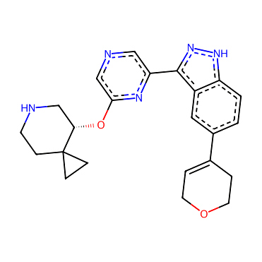 C1=C(c2ccc3[nH]nc(-c4cncc(O[C@H]5CNCCC56CC6)n4)c3c2)CCOC1